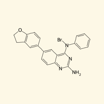 Nc1nc(N(Br)c2ccccc2)c2cc(-c3ccc4c(c3)CCO4)ccc2n1